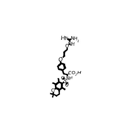 Cc1c(C)c(S(=O)(=O)N[C@@H](Cc2ccc(OCCCONC(=N)N)cc2)C(=O)O)c(C)c2c1OC(C)(C)CC2